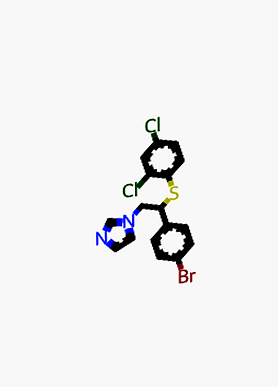 Clc1ccc(SC(Cn2ccnc2)c2ccc(Br)cc2)c(Cl)c1